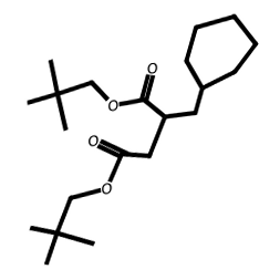 CC(C)(C)COC(=O)CC(CC1CCCCC1)C(=O)OCC(C)(C)C